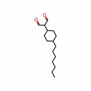 CCCCCCCC1CCC(C(C=O)C=O)CC1